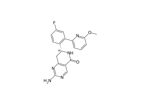 COc1cccc(-c2cc(F)ccc2[C@H]2Cc3nc(N)ncc3C(=O)N2)n1